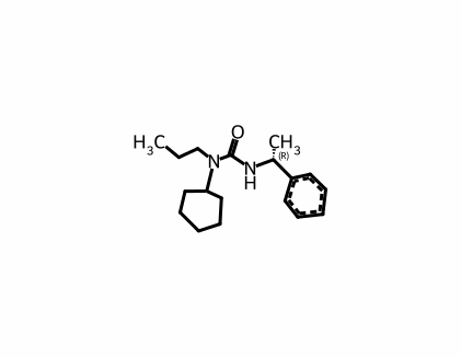 CCCN(C(=O)N[C@H](C)c1ccccc1)C1CCCCC1